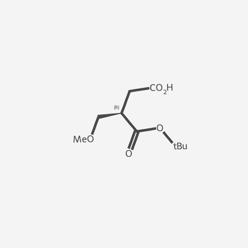 COC[C@@H](CC(=O)O)C(=O)OC(C)(C)C